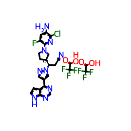 N#CCC([C@H]1CCN(c2nc(Cl)c(N)cc2F)C1)n1cc(-c2ncnc3[nH]ccc23)cn1.O=C(O)C(F)(F)F.O=C(O)C(F)(F)F